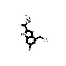 CCc1cc(F)cc2[nH]c(C(=O)NC)cc12